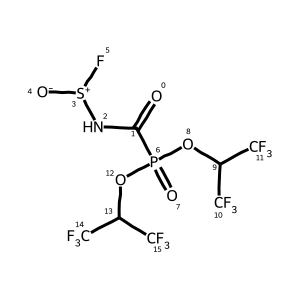 O=C(N[S+]([O-])F)P(=O)(OC(C(F)(F)F)C(F)(F)F)OC(C(F)(F)F)C(F)(F)F